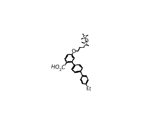 CCc1ccc(-c2ccc(-c3cc(OCCC[Si](C)(C)O[Si](C)(C)C)ccc3C(=O)O)cc2)cc1